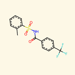 Cc1ccccc1S(=O)(=O)NC(=O)c1ccc(C(F)(F)F)cc1